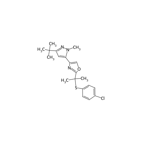 Cn1nc(C(C)(C)C)cc1-c1coc(C(C)(C)Sc2ccc(Cl)cc2)n1